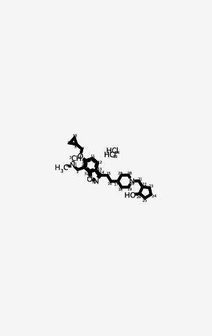 CN(C)Cc1c(OCC2CC2)ccc2c(CCC3CCN(CC4CCCC4O)CC3)noc12.Cl.Cl